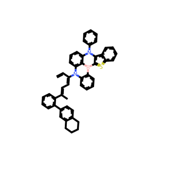 C=C/C(=C\C=C(/C)c1ccccc1-c1ccc2c(c1)CCCC2)N1c2ccccc2B2c3sc4ccccc4c3N(c3ccccc3)c3cccc1c32